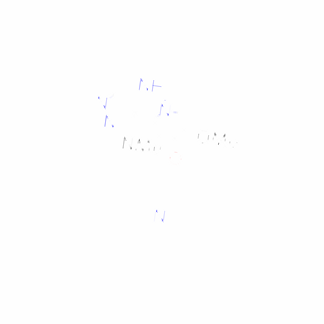 CNc1nncc(N)c1-c1cc(OCCCN2CCCC2)c(OC)cn1